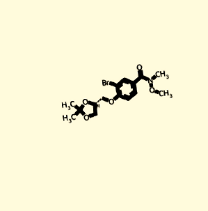 CON(C)C(=O)c1ccc(OC[C@@H]2COC(C)(C)O2)c(Br)c1